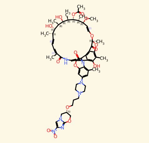 CO[C@H]1/C=C/O[C@@]2(C)Oc3c(C)c(O)c4c(=O)c(c5oc6cc(N7CCN(CCCO[C@@H]8COc9nc([N+](=O)[O-])cn9C8)CC7)cc(C)c6nc-5c4c3C2=O)NC(=O)/C(C)=C\C=C\[C@H](C)[C@H](O)[C@@H](C)[C@@H](O)[C@@H](C)[C@H](OC(C)=O)[C@@H]1C